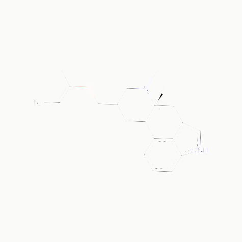 CC(=CC#N)OCC1CC2c3cccc4[nH]cc(c34)C[C@H]2N(C)C1